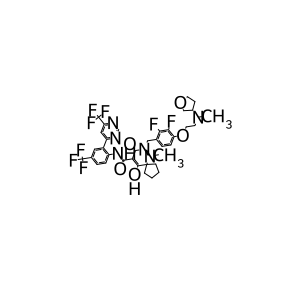 CN(CCOc1ccc(CN2C(=O)C(C(=O)Nc3ccc(C(F)(F)F)cc3-c3cc(C(F)(F)F)ncn3)=C(O)C3(CCCC3)N2C)c(F)c1F)C1CCOC1